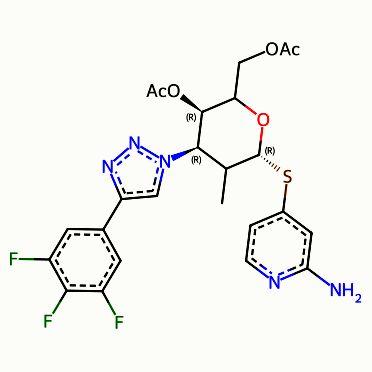 CC(=O)OCC1O[C@H](Sc2ccnc(N)c2)C(C)[C@@H](n2cc(-c3cc(F)c(F)c(F)c3)nn2)[C@H]1OC(C)=O